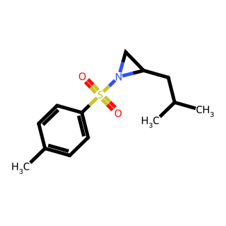 Cc1ccc(S(=O)(=O)N2CC2CC(C)C)cc1